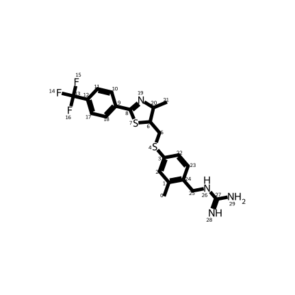 Cc1cc(SCC2SC(c3ccc(C(F)(F)F)cc3)=NC2C)ccc1CNC(=N)N